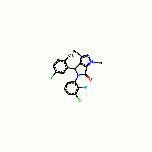 CCC(C)n1nc(C(C)C)c2c1C(=O)N(c1cccc(Cl)c1F)[C@H]2c1cc(Cl)ccc1C